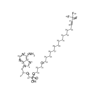 CC(Cn1cnc2c(N)ncnc21)OCP(=O)(O)OCCCOCCCCCCCCCCCCCC#CC(F)(F)F